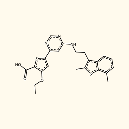 CCOc1cc(-c2cc(NCCc3c(C)sc4c(C)cccc34)ncn2)sc1C(=O)O